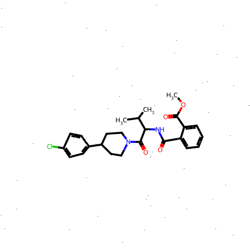 COC(=O)c1ccccc1C(=O)NC(C(=O)N1CCC(c2ccc(Cl)cc2)CC1)C(C)C